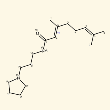 CC(C)=CCC/C(C)=C/C(=O)NCCCN1CCCC1